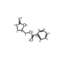 O=C(OCC1CSC(=S)O1)c1ccccc1